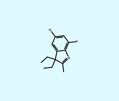 CCC1(CC)C(C)=Nc2c(F)cc([N])cc21